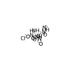 Cc1cc(NC(=O)[C@H](CCN)NC(=O)[C@@H]2Cc3ccccc3CN2C(=O)CCC(=O)N2CCN3CCC[C@@H]3C2)ccc1Cl